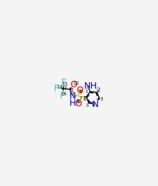 Nc1ccncc1S(=O)(=O)NC(=O)C(F)(F)F